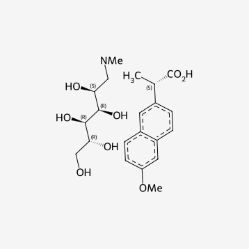 CNC[C@H](O)[C@@H](O)[C@H](O)[C@H](O)CO.COc1ccc2cc([C@H](C)C(=O)O)ccc2c1